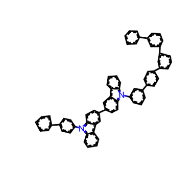 c1ccc(-c2ccc(-n3c4ccccc4c4cc(-c5ccc6c(c5)c5ccccc5n6-c5cccc(-c6ccc(-c7cccc(-c8cccc(-c9ccccc9)c8)c7)cc6)c5)ccc43)cc2)cc1